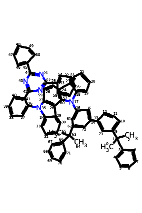 CC(C)(c1ccccc1)c1cccc(-c2cc(-n3c4ccccc4c4ccc5c(c6ccccc6n5-c5ccccc5-c5nc(-c6ccccc6)nc(-c6ccccc6)n5)c43)cc(C(C)(C)c3ccccc3)c2)c1